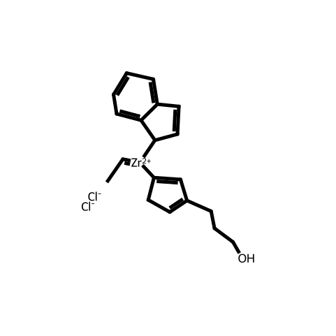 C[CH]=[Zr+2]([C]1=CC(CCCO)=CC1)[CH]1C=Cc2ccccc21.[Cl-].[Cl-]